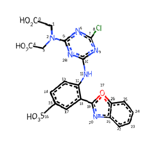 O=C(O)CN(CC(=O)O)c1nc(Cl)nc(Nc2ccc(S(=O)(=O)O)cc2-c2nc3ccccc3o2)n1